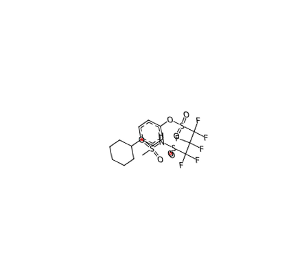 CS(=O)(=O)NS(=O)(=O)C(F)(F)C(F)(F)C(F)(F)S(=O)(=O)Oc1ccc(C2CCCCC2)cc1